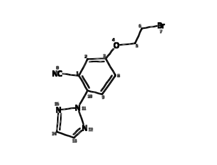 N#Cc1cc(OCCBr)ccc1-n1nccn1